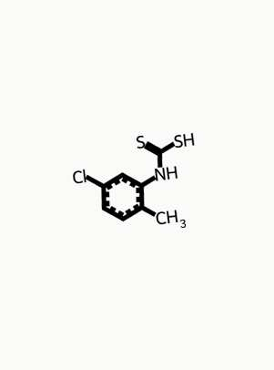 Cc1ccc(Cl)cc1NC(=S)S